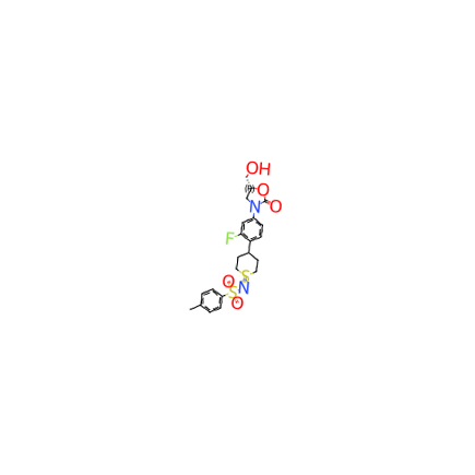 Cc1ccc(S(=O)(=O)N=S2CCC(c3ccc(N4C[C@H](CO)OC4=O)cc3F)CC2)cc1